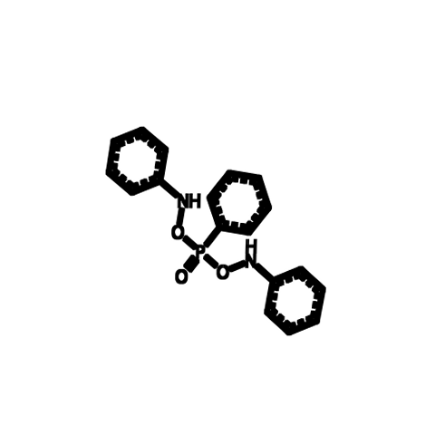 O=P(ONc1ccccc1)(ONc1ccccc1)c1ccccc1